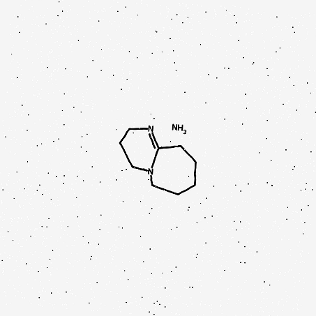 C1CCC2=NCCCN2CC1.N